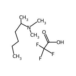 CCCCC(C)N(C)C.O=C(O)C(F)(F)F